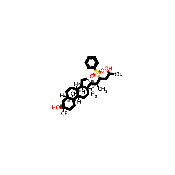 C[C@H](C(CC(O)C(C)(C)C)S(=O)(=O)c1ccccc1)[C@H]1CC[C@H]2[C@@H]3CC[C@H]4C[C@](O)(C(F)(F)F)CC[C@]4(C)[C@H]3CC[C@]12C